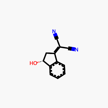 N#CC(C#N)=C1C[C@@H](O)c2ccccc21